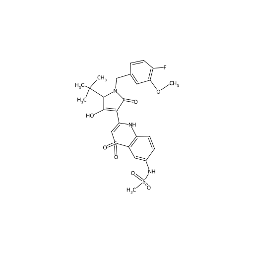 COc1cc(CN2C(=O)C(C3=CS(=O)(=O)c4cc(NS(C)(=O)=O)ccc4N3)=C(O)C2C(C)(C)C)ccc1F